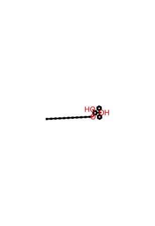 C#CC#CC#CC#CC#CC#CC#CC#CC#CC#CC#COc1cc(O)cc(C(O)(c2ccccc2)c2ccccc2)c1